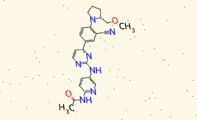 COCC1CCCN1c1ccc(-c2ccnc(Nc3ccc(NC(C)=O)nc3)n2)cc1C#N